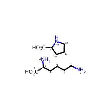 NCCCC[C@H](N)C(=O)O.O=C(O)[C@@H]1CCCN1